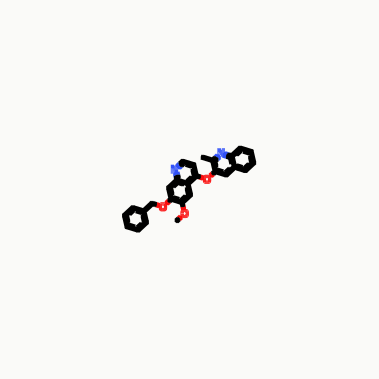 COc1cc2c(Oc3cc4ccccc4nc3C)ccnc2cc1OCc1ccccc1